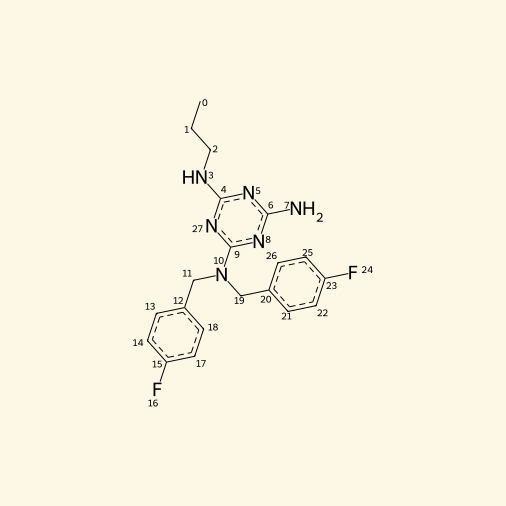 CCCNc1nc(N)nc(N(Cc2ccc(F)cc2)Cc2ccc(F)cc2)n1